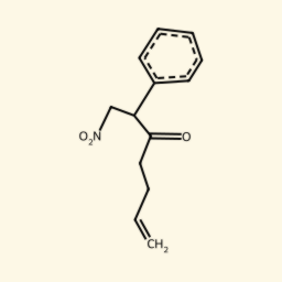 C=CCCC(=O)C(C[N+](=O)[O-])c1ccccc1